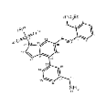 CCOC(=O)Cc1ccccc1OCc1cc(-c2cccc(CN)c2)c2ccn(S(=O)(=O)C(C)C)c2c1